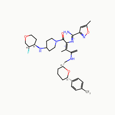 C=C(NC[C@H]1CCC[C@@H](c2ccc(C(F)(F)F)cc2)O1)/C(C)=C(\N=C(/N)c1cc(C)on1)C(=O)N1CCC(N[C@@H]2CCOC[C@@H]2F)CC1